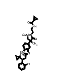 COCC(C)(C(=O)NCCNC(=O)C1CC1)c1ccc2[nH]c(CC(c3ccccc3Cl)C3(C)CC3)nc2c1